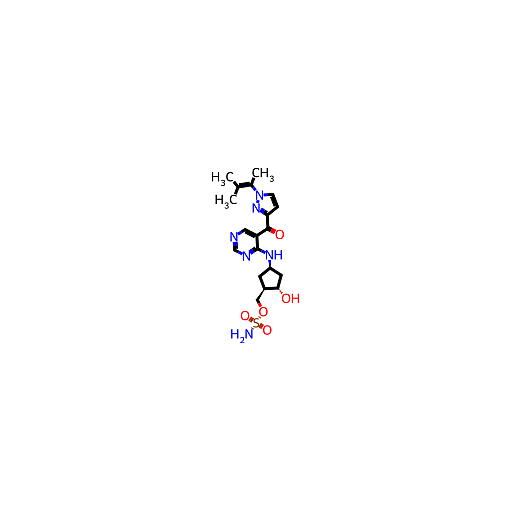 CC(C)=C(C)n1ccc(C(=O)c2cncnc2N[C@@H]2C[C@H](COS(N)(=O)=O)[C@@H](O)C2)n1